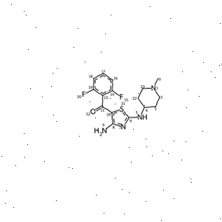 CN1CCC(Nc2nc(N)c(C(=O)c3c(F)cccc3F)s2)CC1